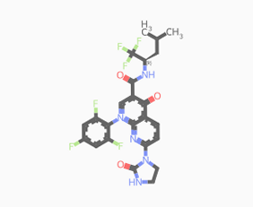 CC(C)C[C@@H](NC(=O)c1cn(-c2c(F)cc(F)cc2F)c2nc(N3CCNC3=O)ccc2c1=O)C(F)(F)F